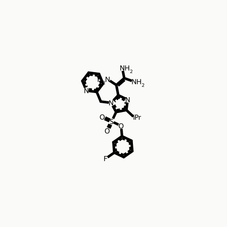 CC(C)c1nc(C(N)=C(N)N)n(Cc2ccccn2)c1S(=O)(=O)Oc1cccc(F)c1